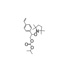 C=Cc1ccc(C(COC(=O)OC(C)C)ON2C(C)(C)CCC2(C)C)cc1